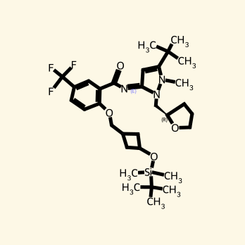 Cn1c(C(C)(C)C)c/c(=N\C(=O)c2cc(C(F)(F)F)ccc2OCC2CC(O[Si](C)(C)C(C)(C)C)C2)n1C[C@H]1CCCO1